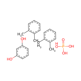 Cc1ccccc1C.Cc1ccccc1C.O=P(O)(O)O.Oc1cccc(O)c1